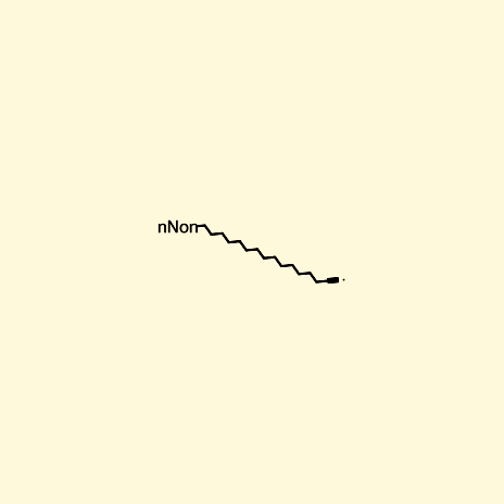 [C]#CCCCCCCCCCCCCCCCCCCCCCC[CH2]